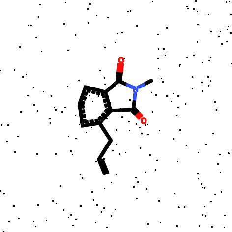 C=CCc1cccc2c1C(=O)N(C)C2=O